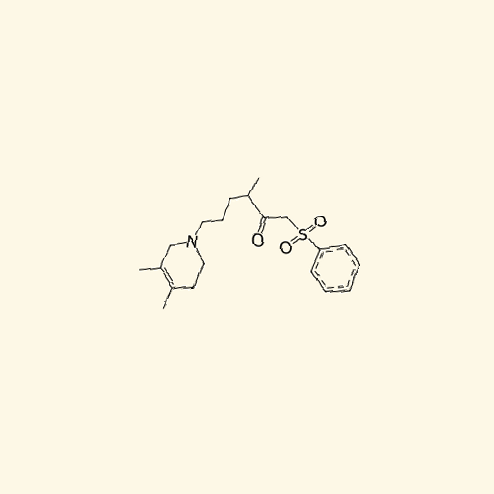 CC1=C(C)CN(CCCC(C)C(=O)CS(=O)(=O)c2ccccc2)CC1